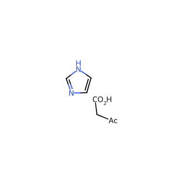 CC(=O)CC(=O)O.c1c[nH]cn1